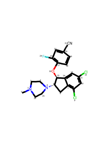 CN1CCN([C@H]2Cc3c(Cl)cc(Cl)cc3[C@@H]2Oc2ccc(C#N)cc2F)CC1